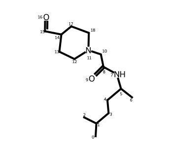 CC(C)CCC(C)NC(=O)CN1CCC(C=O)CC1